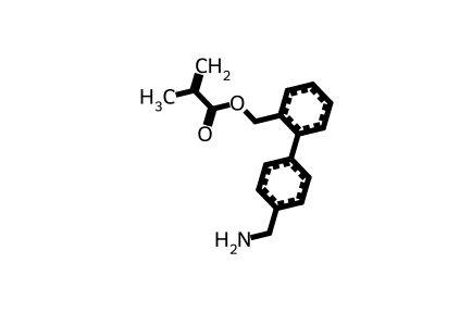 C=C(C)C(=O)OCc1ccccc1-c1ccc(CN)cc1